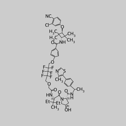 CCC(C)(CC)[C@H](NC(=O)COCC(F)(F)C(F)(F)C(F)(F)COc1ccc(C(=O)N[C@H]2C(C)(C)[C@H](Oc3ccc(C#N)c(Cl)c3)C2(C)C)cc1)C(=O)N1C[C@H](O)C[C@H]1C(=O)NC(C)c1ccc(-c2scnc2C)cc1